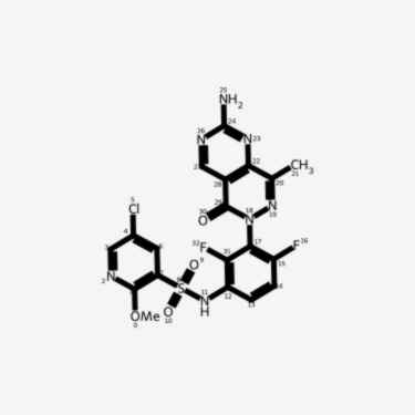 COc1ncc(Cl)cc1S(=O)(=O)Nc1ccc(F)c(-n2nc(C)c3nc(N)ncc3c2=O)c1F